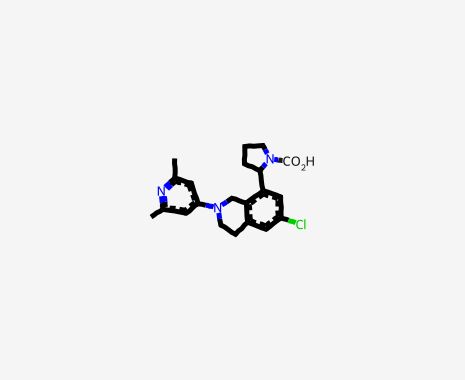 Cc1cc(N2CCc3cc(Cl)cc(C4CCCN4C(=O)O)c3C2)cc(C)n1